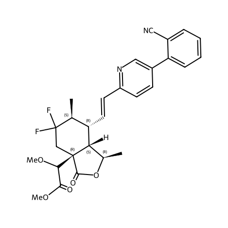 COC(=O)C(OC)[C@@]12CC(F)(F)[C@@H](C)[C@H](C=Cc3ccc(-c4ccccc4C#N)cn3)[C@@H]1[C@@H](C)OC2=O